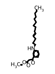 CCCCCCCCCC=CCCCNc1cccc(C(=O)CC(=O)OCC)c1